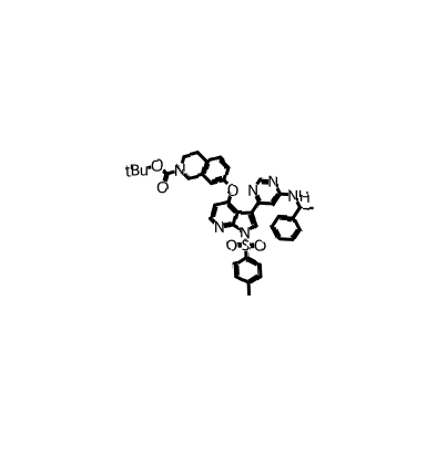 Cc1ccc(S(=O)(=O)n2cc(-c3cc(N[C@@H](C)c4ccccc4)ncn3)c3c(Oc4ccc5c(c4)CN(C(=O)OC(C)(C)C)CC5)ccnc32)cc1